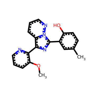 COc1cccnc1-c1nc(-c2cc(C)ccc2O)n2ncccc12